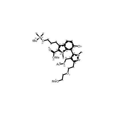 COCCOCCc1nn(C)c(-c2c(Cl)ccc3c(CCCO[Si](C)(C)C(C)(C)C)c(C(=O)OC)n(C)c23)c1CSC(C)=O